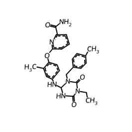 CCN1C(=O)NC(Nc2ccc(Oc3cccc(C(N)=O)n3)c(C)c2)N(Cc2ccc(C)cc2)C1=O